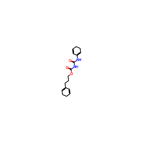 O=C(NC(=O)OCCCC1=CCCC=C1)NC1=CCCC=C1